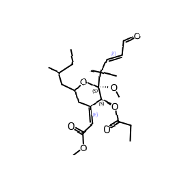 CCC(=O)O[C@H]1/C(=C/C(=O)OC)CC(CC(C)CC)O[C@@]1(OC)C(C)(C)/C=C/C=O